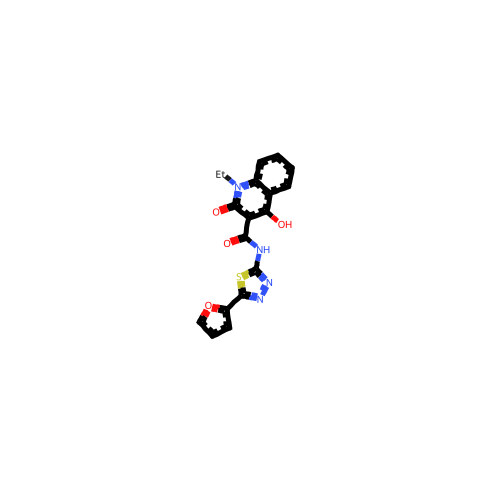 CCn1c(=O)c(C(=O)Nc2nnc(-c3ccco3)s2)c(O)c2ccccc21